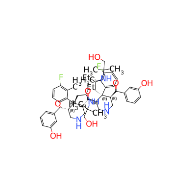 CCC(C[C@]1(c2cccc(F)c2C)[C@@H](C(=O)c2cccc(O)c2)CNC[C@H]1C(=O)[C@@H]1CNC[C@H](C(=O)c2cccc(O)c2)[C@]1(CC(CC)NC(C)(C)CO)c1cccc(F)c1C)NC(C)(C)CO